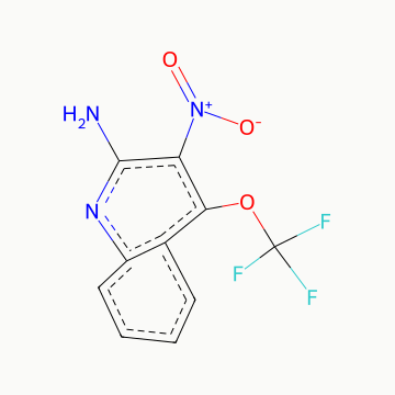 Nc1nc2ccccc2c(OC(F)(F)F)c1[N+](=O)[O-]